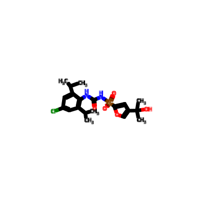 CC(C)c1cc(Cl)cc(C(C)C)c1NC(=O)NS(=O)(=O)c1cc(C(C)(C)O)co1